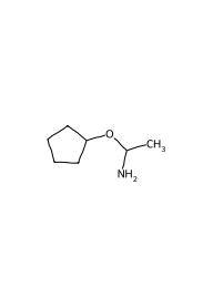 CC(N)OC1CCCC1